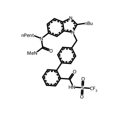 CCCCCN(C(=O)NC)c1ccc2nc(CCCC)n(Cc3ccc(-c4ccccc4C(=O)NS(=O)(=O)C(F)(F)F)cc3)c2c1